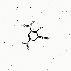 [N-]=[N+]=C1CC([N+](=O)[O-])=CC([N+](=O)[O-])=C1O